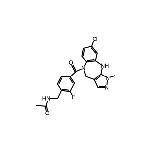 CC(=O)NCc1ccc(C(=O)N2Cc3cnn(C)c3Nc3cc(Cl)ccc32)cc1F